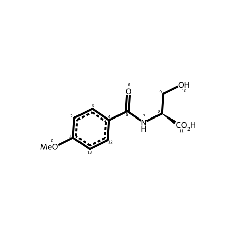 COc1ccc(C(=O)N[C@@H](CO)C(=O)O)cc1